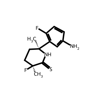 C[C@]1(F)CC[C@@](C)(c2cc(N)ccc2F)NC1=S